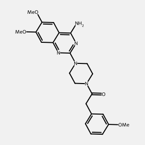 COc1cccc(CC(=O)N2CCN(c3nc(N)c4cc(OC)c(OC)cc4n3)CC2)c1